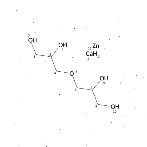 OCC(O)COCC(O)CO.[CaH2].[Zn]